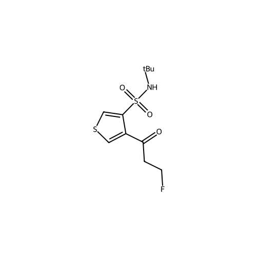 CC(C)(C)NS(=O)(=O)c1cscc1C(=O)CCF